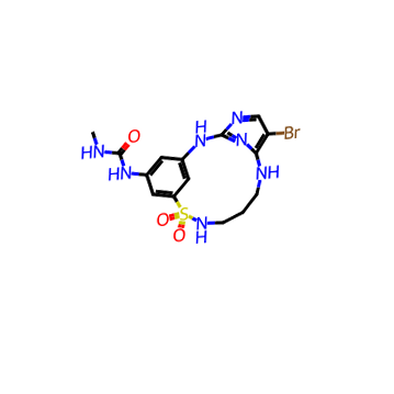 CNC(=O)Nc1cc2cc(c1)S(=O)(=O)NCCCNc1nc(ncc1Br)N2